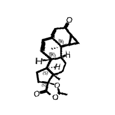 CC(=O)O[C@@]1(C(C)=O)CC[C@H]2[C@@H]3C=CC4=CC(=O)C5CC5[C@@]4(C)[C@@H]3CC[C@@]21C